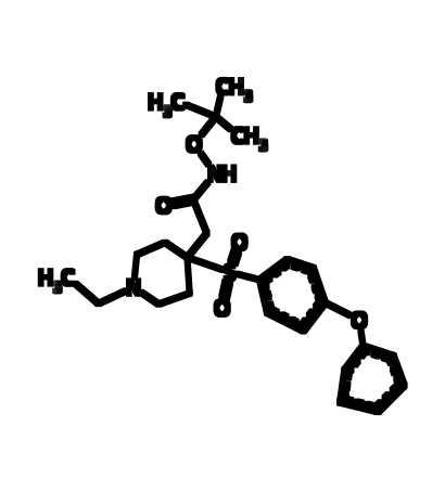 CCN1CCC(CC(=O)NOC(C)(C)C)(S(=O)(=O)c2ccc(Oc3ccccc3)cc2)CC1